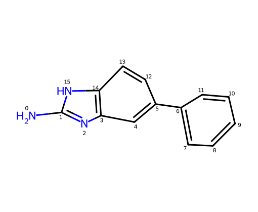 Nc1nc2cc(-c3ccccc3)ccc2[nH]1